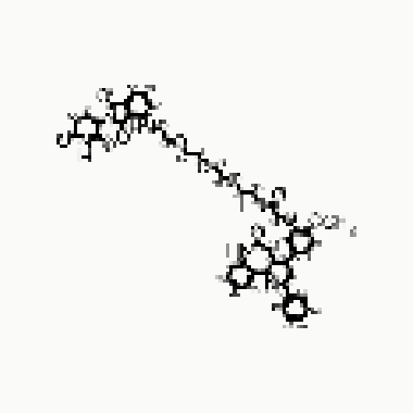 COc1ccc(-c2cc(-c3ccccc3)nc3c2CC(=O)Nc2ccccc2-3)cc1OCC(=O)NCCOCCOCCOCCNc1cccc2c1C(=O)N(C1CCC(=O)NC1=O)C2=O